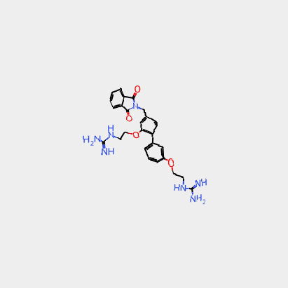 N=C(N)NCCOc1cccc(-c2ccc(CN3C(=O)c4ccccc4C3=O)cc2OCCNC(=N)N)c1